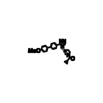 COc1ccc(-c2ccc(-c3nncn3C[C@@H]3CCN(C(=O)C4CC4)C3)cc2)cc1